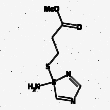 COC(=O)CCSS1(N)C=NC=N1